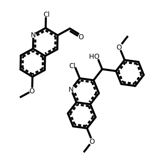 COc1ccc2nc(Cl)c(C(O)c3ccccc3OC)cc2c1.COc1ccc2nc(Cl)c(C=O)cc2c1